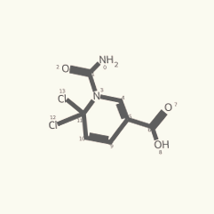 NC(=O)N1C=C(C(=O)O)C=CC1(Cl)Cl